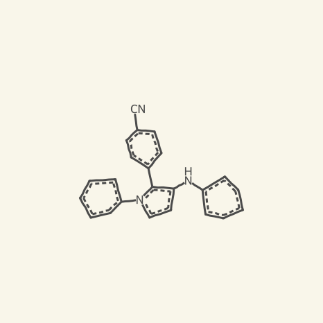 N#Cc1ccc(-c2c(Nc3ccccc3)ccn2-c2ccccc2)cc1